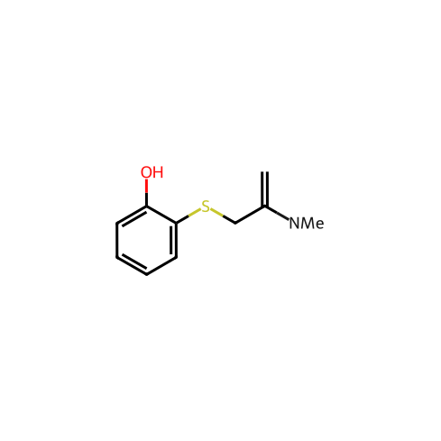 C=C(CSc1ccccc1O)NC